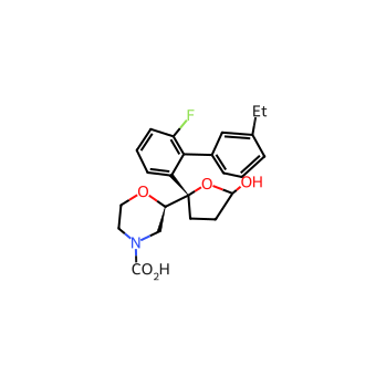 CCc1cccc(-c2c(F)cccc2[C@]2([C@H]3CN(C(=O)O)CCO3)CCC(O)O2)c1